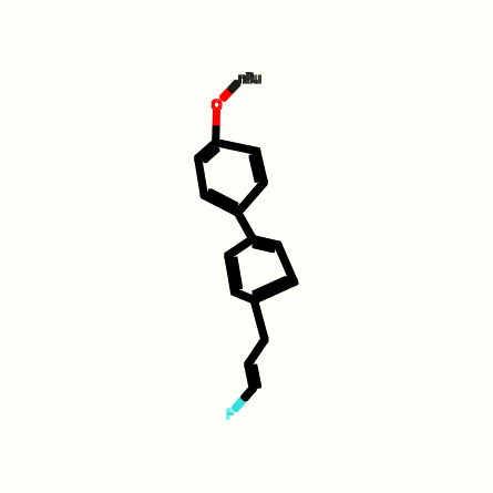 CCCCOc1ccc(-c2ccc(C/C=C/F)cc2)cc1